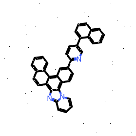 c1ccc2c(-c3ccc(-c4ccc5c(c4)c4c6ccccc6ccc4c4nc6ccccn6c54)nc3)cccc2c1